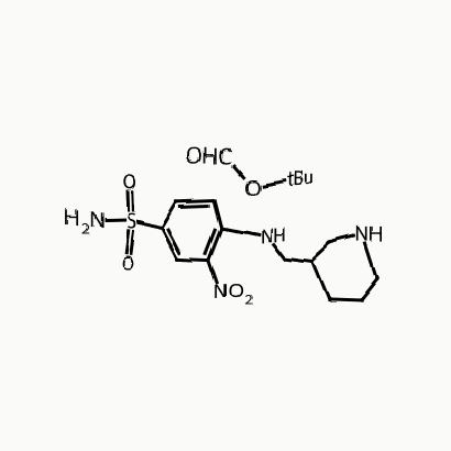 CC(C)(C)OC=O.NS(=O)(=O)c1ccc(NCC2CCCNC2)c([N+](=O)[O-])c1